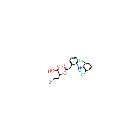 O=C(Cc1ccccc1Nc1c(Cl)cccc1Cl)OC(CCBr)C(=O)O